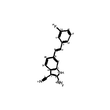 N#Cc1c(N)[nH]c2cc(C=Cc3cccc(F)c3)ccc12